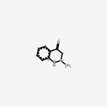 CN1CC(=O)c2ccccc2N1